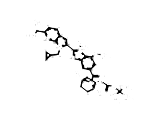 COc1cc(C(=O)N2[C@H]3CC[C@@H]2[C@H](NC(=O)OC(C)(C)C)C3)cc2nc(-c3cc4ccc([C@@H](C)N)nc4n3CC3CC3)n(C)c12